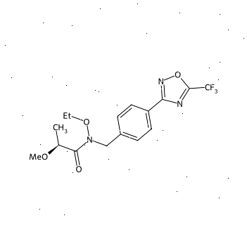 CCON(Cc1ccc(-c2noc(C(F)(F)F)n2)cc1)C(=O)[C@H](C)OC